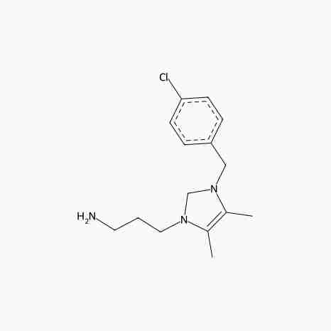 CC1=C(C)N(Cc2ccc(Cl)cc2)CN1CCCN